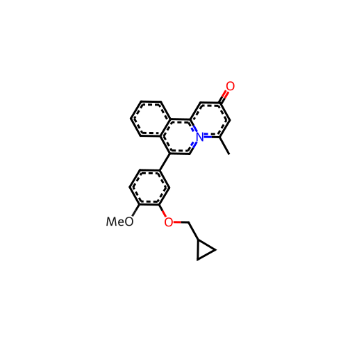 COc1ccc(-c2cn3c(C)cc(=O)cc3c3ccccc23)cc1OCC1CC1